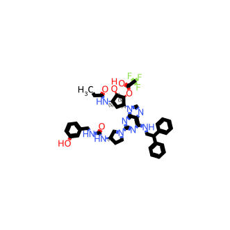 CCC(=O)N[C@H]1C[C@@H](n2cnc3c(NCC(c4ccccc4)c4ccccc4)nc(N4CC[C@@H](NC(=O)NCc5cccc(O)c5)C4)nc32)[C@H](OC(=O)C(F)(F)F)[C@@H]1O